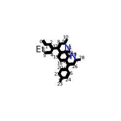 C=C/C=C(\C=C/CC)C1=CC(C)=NC2(C)C1=CC=C1C(C3=CCC(C)C=C3)=CC(C)=NC12